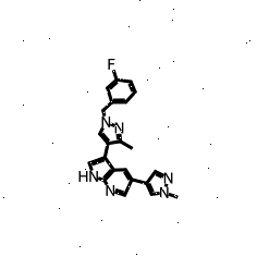 Cc1nn(Cc2cccc(F)c2)cc1-c1c[nH]c2ncc(-c3cnn(C)c3)cc12